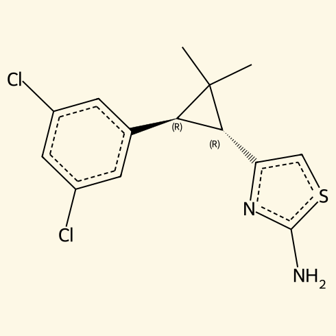 CC1(C)[C@H](c2cc(Cl)cc(Cl)c2)[C@H]1c1csc(N)n1